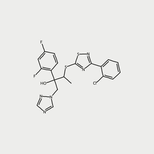 CC(Sc1nc(-c2ccccc2Cl)ns1)C(O)(Cn1cncn1)c1ccc(F)cc1F